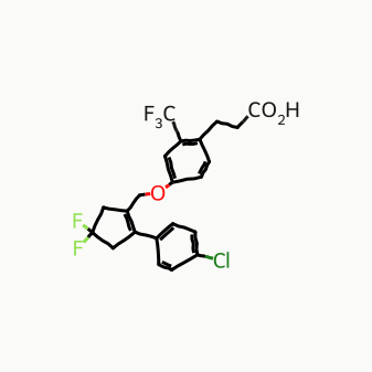 O=C(O)CCc1ccc(OCC2=C(c3ccc(Cl)cc3)CC(F)(F)C2)cc1C(F)(F)F